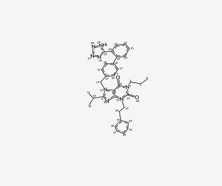 CCCn1c(=O)c2c(nc(C(C)C)n2Cc2ccc(-c3ccccc3-c3nnn[nH]3)cc2)n(CCc2ccccc2)c1=O